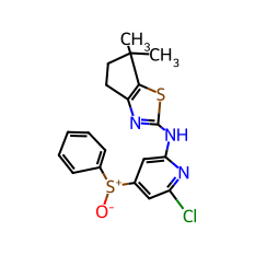 CC1(C)CCc2nc(Nc3cc([S+]([O-])c4ccccc4)cc(Cl)n3)sc21